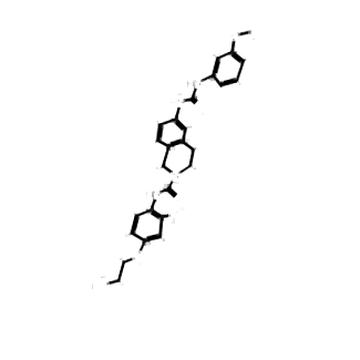 CCOc1cccc(NC(=O)Nc2ccc3c(c2)CCN(C(=O)Nc2ccc(OCCO)cc2Cl)C3)c1